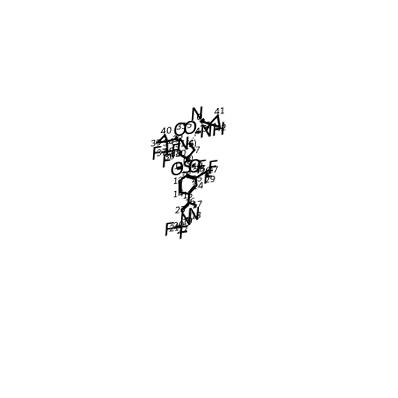 N#CC1(NC(=O)[C@@H]2C[C@@H](S(=O)(=O)c3ccc(-c4cnn(C(F)F)c4)cc3C(F)(F)F)CN2C(=O)C2(C(F)(F)F)CC2)CC1